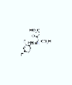 O=C(O)CC(=O)/C(=N\Nc1ccc(F)cc1F)C(=O)O